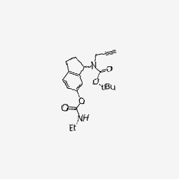 C#CCN(C(=O)OC(C)(C)C)C1CCc2ccc(OC(=O)NCC)cc21